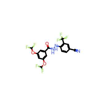 N#Cc1ccc(NNC(=O)c2cc(OC(F)F)cc(OC(F)F)c2)c(C(F)(F)F)c1